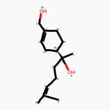 CC(C)=CCCC(C)(O)[C@H]1CC=C(CO)CC1